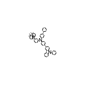 CC1(C)OB(c2cccc(N(c3ccc(-c4ccccc4)cc3)c3ccc(-c4ccc5c(c4)c4ccccc4n5-c4ccccc4)cc3)c2)OC1(C)C